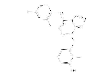 Nc1nccc(Cc2ccc(Nc3ccc(I)cc3F)n3cncc23)c1F